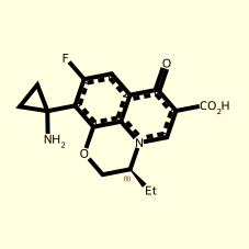 CC[C@H]1COc2c(C3(N)CC3)c(F)cc3c(=O)c(C(=O)O)cn1c23